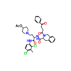 CC(=O)OC1CCN(CCC(NC(=O)C2Cc3ccccc3CN2C(=O)CCC(=O)c2ccccc2)C(=O)Nc2ccc(Cl)c(C)c2Cl)CC1